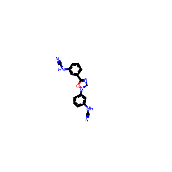 N#CNc1cccc(C2=NCN(c3cccc(NC#N)c3)O2)c1